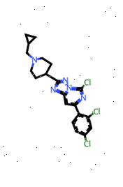 Clc1ccc(-c2cc3nc(C4CCN(CC5CC5)CC4)nn3c(Cl)n2)c(Cl)c1